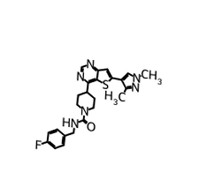 Cc1nn(C)cc1-c1cc2ncnc(C3CCN(C(=O)NCc4ccc(F)cc4)CC3)c2s1